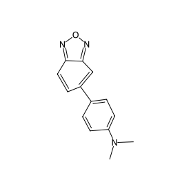 CN(C)c1ccc(-c2ccc3nonc3c2)cc1